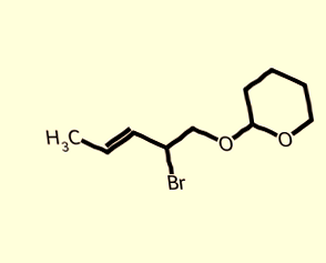 CC=CC(Br)COC1CCCCO1